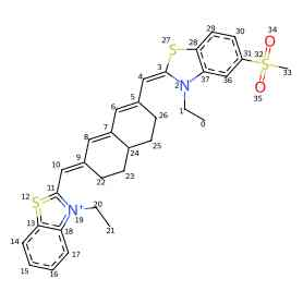 CCN1/C(=C\C2=CC3=C/C(=C/c4sc5ccccc5[n+]4CC)CCC3CC2)Sc2ccc(S(C)(=O)=O)cc21